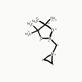 CC1(C)OB(CN2CC2)OC1(C)C